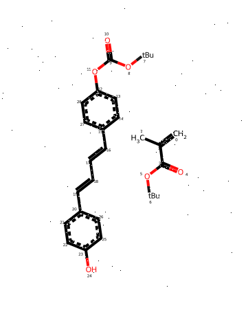 C=C(C)C(=O)OC(C)(C)C.CC(C)(C)OC(=O)Oc1ccc(C=CC=Cc2ccc(O)cc2)cc1